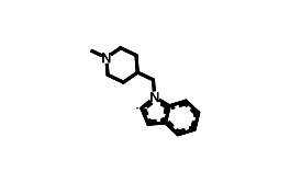 CN1CCC(Cn2[c]cc3ccccc32)CC1